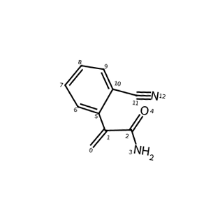 C=C(C(N)=O)c1ccccc1C#N